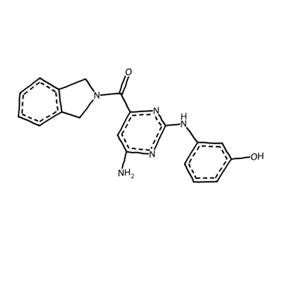 Nc1cc(C(=O)N2Cc3ccccc3C2)nc(Nc2cccc(O)c2)n1